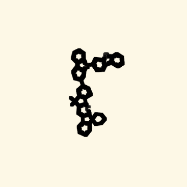 CC1(C)c2cc(-c3ccc4c5ccccc5n(-c5ccc6c(c5)oc5ccccc56)c4c3)ccc2-c2cc3c(cc21)-c1ccccc1C31CCCCC1